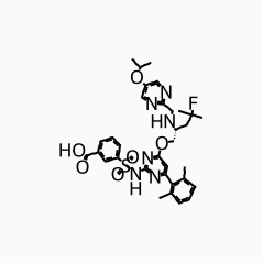 Cc1cccc(C)c1-c1cc(OC[C@@H](CC(C)(C)F)NCc2ncc(OC(C)C)cn2)nc(NS(=O)(=O)c2cccc(C(=O)O)c2)n1